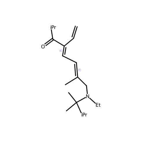 C=C/C(=C\C=C(/C)CN(CC)C(C)(C)C(C)C)C(=O)C(C)C